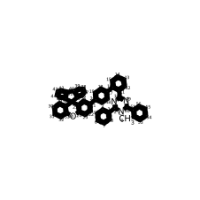 CN1C(c2ccccc2)=NC(c2ccccc2-c2ccc(-c3ccc4c(c3)C3(c5ccccc5O4)c4ccccc4-c4ccccc43)cc2)=NC1c1ccccc1